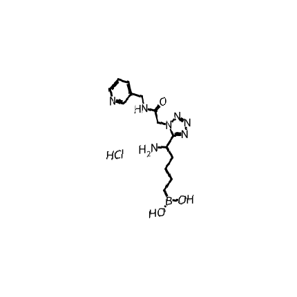 Cl.NC(CCCCB(O)O)c1nnnn1CC(=O)NCc1cccnc1